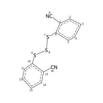 N#Cc1ccccc1SSSc1ccccc1C#N